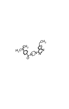 CCc1cc2c(N3CCN(C(=O)c4ccc(N(C)C)cc4)CC3)ncnc2s1